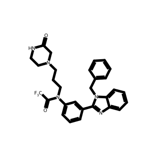 O=C1CN(CCCN(C(=O)C(F)(F)F)c2cccc(-c3nc4ccccc4n3Cc3ccccc3)c2)CCN1